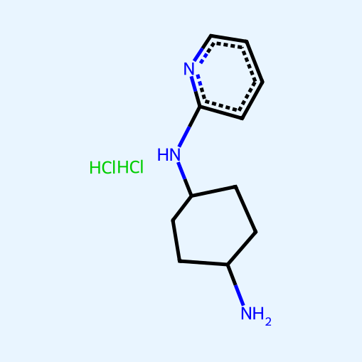 Cl.Cl.NC1CCC(Nc2ccccn2)CC1